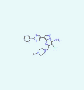 CC(=O)N1CCN(Cc2nc3c(-c4cnc(-c5ccccc5)nc4)cnn3c(N)c2Br)CC1